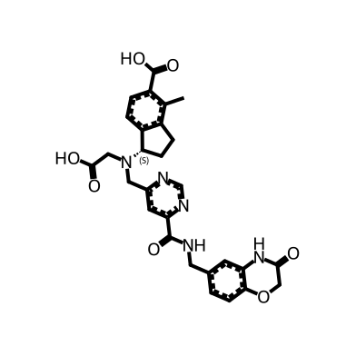 Cc1c(C(=O)O)ccc2c1CC[C@@H]2N(CC(=O)O)Cc1cc(C(=O)NCc2ccc3c(c2)NC(=O)CO3)ncn1